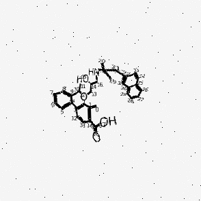 Cc1cc(-c2ccccc2C(C)OC[C@H](O)CNC(C)(C)Cc2ccc3ccccc3c2)ccc1C(=O)O